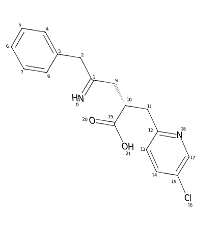 N=C(Cc1ccccc1)C[C@H](Cc1ccc(Cl)cn1)C(=O)O